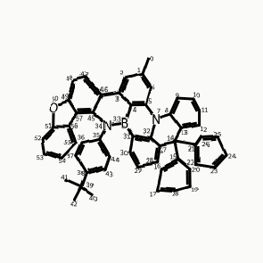 Cc1cc2c3c(c1)N1c4ccccc4C(c4ccccc4)(c4ccccc4)c4cccc(c41)B3N(c1ccc(C(C)(C)C)cc1)c1c-2ccc2oc3ccccc3c12